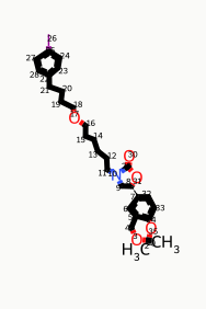 CC1(C)OCc2cc([C@@H]3CN(CCCCCCOCCCCc4ccc(I)cc4)C(=O)O3)ccc2O1